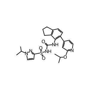 CC(C)Oc1cc(-c2ccc3c(c2NC(=O)NS(=O)(=O)c2ccn(C(C)C)n2)CCC3)ccn1